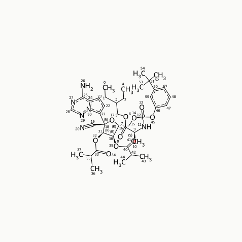 CCC(CC)COC(=O)[C@H](C)NP(=O)(OC[C@H]1O[C@@](C#N)(c2ccc3c(N)ncnn23)[C@H](OC(=O)C(C)C)[C@@H]1OC(=O)C(C)C)Oc1cccc(C(C)(C)C)c1